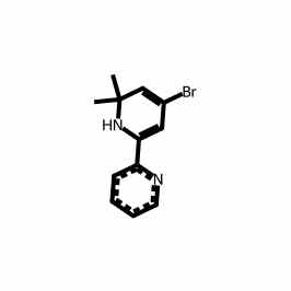 CC1(C)C=C(Br)C=C(c2ccccn2)N1